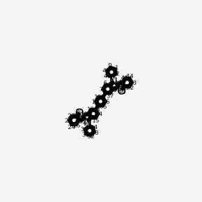 c1ccc(-n2c3ccc(-c4ccc(-c5ccc6c(c5)c5oc7ccccc7c5n6-c5ccccc5)cc4)cc3c3oc4ccccc4c32)cc1